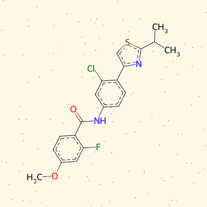 COc1ccc(C(=O)Nc2ccc(-c3csc(C(C)C)n3)c(Cl)c2)c(F)c1